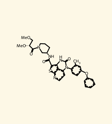 COC[C@@H](OC)C(=O)N1CCC[C@@H](NC(=O)c2sc3nccc4c3c2NC(=O)N4c2ccc(Oc3ccccc3)cc2C)C1